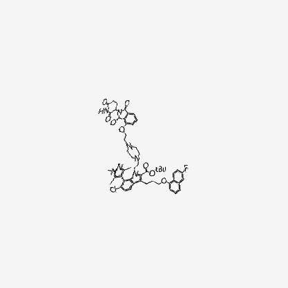 Cc1nn(C)c(C)c1-c1c(Cl)ccc2c(CCCOc3cccc4cc(F)ccc34)c(C(=O)OC(C)(C)C)n(CCN3CCN(CCOc4cccc5c4C(=O)N(C4CCC(=O)NC4=O)C5=O)CC3)c12